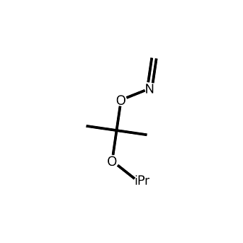 C=NOC(C)(C)OC(C)C